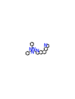 c1ccc(-c2nc(-c3ccccc3)nc(-c3ccc4cc5ccc6cc7cccnc7cc6c5cc4n3)n2)cc1